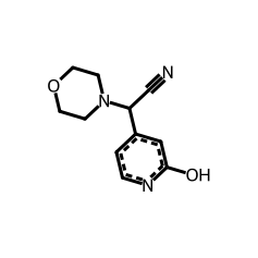 N#CC(c1ccnc(O)c1)N1CCOCC1